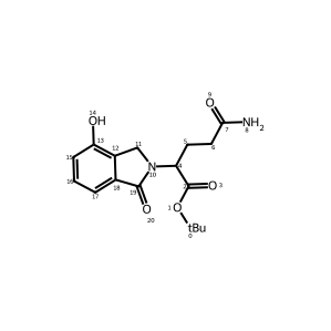 CC(C)(C)OC(=O)C(CCC(N)=O)N1Cc2c(O)cccc2C1=O